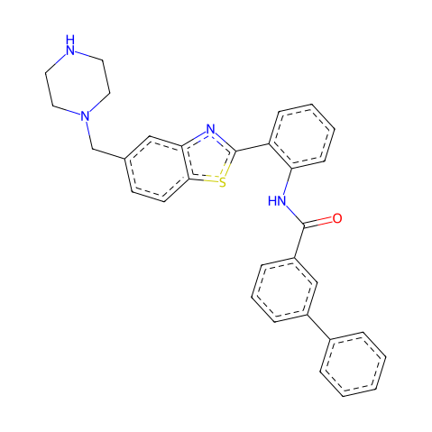 O=C(Nc1ccccc1-c1nc2cc(CN3CCNCC3)ccc2s1)c1cccc(-c2ccccc2)c1